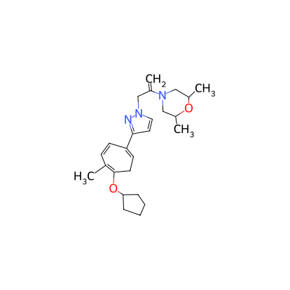 C=C(Cn1ccc(C2=CCC(OC3CCCC3)=C(C)C=C2)n1)N1CC(C)OC(C)C1